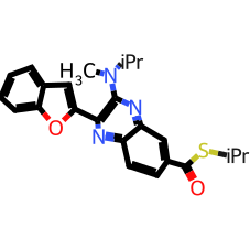 CC(C)SC(=O)c1ccc2nc(-c3cc4ccccc4o3)c(N(C)C(C)C)nc2c1